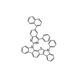 c1ccc(-c2nc(-n3c4ccccc4c4ccc5c(sc6c5c5ccccc5n6-c5ccccc5)c43)nc3ccc(-c4cccc5ccccc45)cc23)cc1